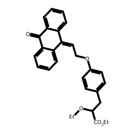 CCOC(=O)C(Cc1ccc(OCC=C2c3ccccc3C(=O)c3ccccc32)cc1)OCC